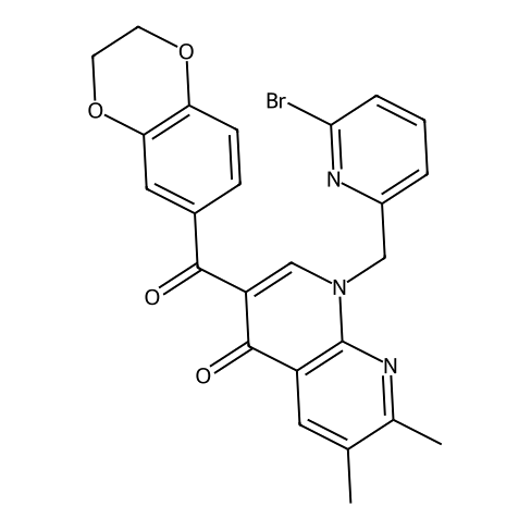 Cc1cc2c(=O)c(C(=O)c3ccc4c(c3)OCCO4)cn(Cc3cccc(Br)n3)c2nc1C